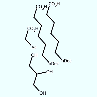 CC(=O)CC(=O)O.CCCCCCCCCCCCCCCC(=O)O.CCCCCCCCCCCCCCCC(=O)O.OCC(O)CO